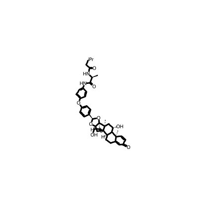 CC(C)CC(=O)N[C@@H](C)C(=O)Nc1ccc(Oc2ccc([C@@H]3O[C@@H]4CC5[C@@H]6CCC7=CC(=O)C=C[C@]7(C)C6[C@@H](O)C[C@]5(C)[C@]4(C(=O)CO)O3)cc2)cc1